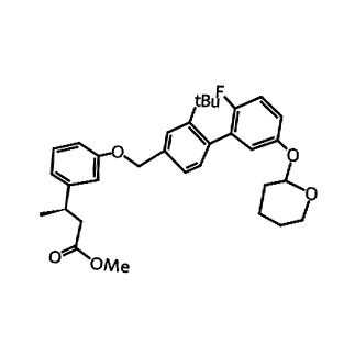 COC(=O)C[C@@H](C)c1cccc(OCc2ccc(-c3cc(OC4CCCCO4)ccc3F)c(C(C)(C)C)c2)c1